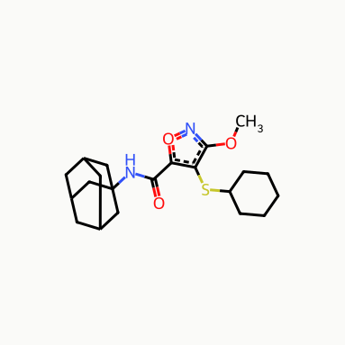 COc1noc(C(=O)NC23CC4CC(CC(C4)C2)C3)c1SC1CCCCC1